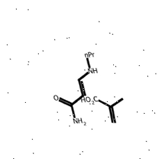 C=C(C)C(=O)O.CCCNC=CC(N)=O